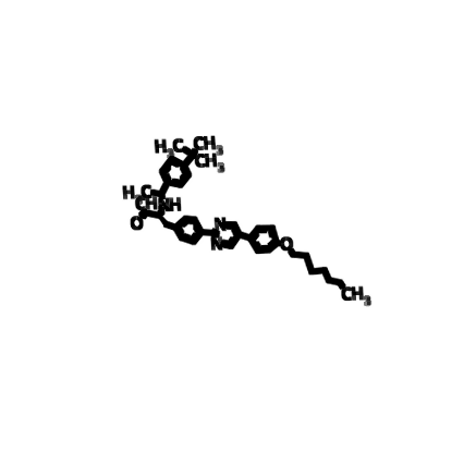 CCCCCCCOc1ccc(-c2cnc(-c3ccc(C[C@H](NC(C)c4ccc(C(C)(C)C)cc4)C(C)=O)cc3)nc2)cc1